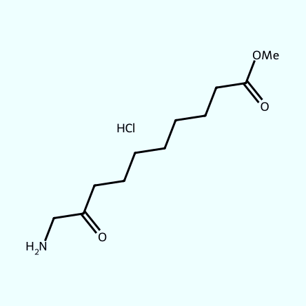 COC(=O)CCCCCCCC(=O)CN.Cl